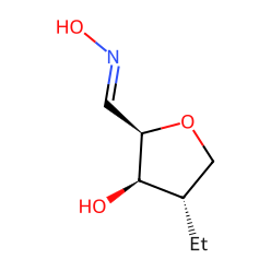 CC[C@H]1CO[C@H](/C=N/O)[C@@H]1O